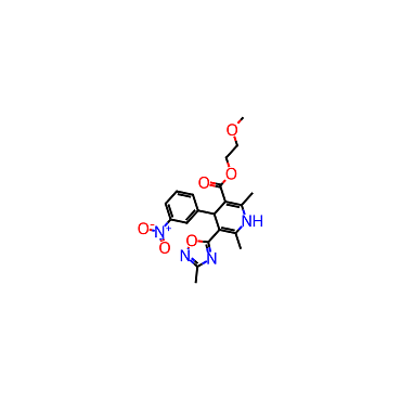 COCCOC(=O)C1=C(C)NC(C)=C(c2nc(C)no2)C1c1cccc([N+](=O)[O-])c1